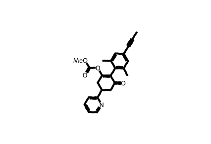 CC#Cc1cc(C)c(C2=C(OC(=O)OC)CC(c3ccccn3)CC2=O)c(C)c1